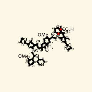 COc1cc(CC(C)(C(N)=O)c2nn(CC(OC3CCOCC3)c3ccccc3OC)c3sc(-c4ncco4)c(C)c3c2=O)ccc1C(Cn1nc(C(C)(C)C(=O)O)c(=O)c2c(C)c(-c3ncco3)sc21)OC1CCOCC1